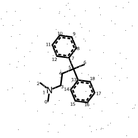 CN(C)CCC(C)(c1ccccc1)c1ccccc1